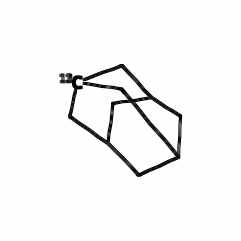 C1C2CC3CC1C[13CH](C2)C3